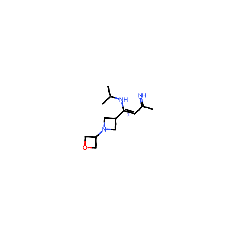 CC(=N)/C=C(\NC(C)C)C1CN(C2COC2)C1